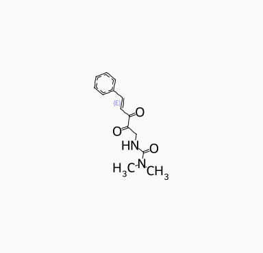 CN(C)C(=O)NCC(=O)C(=O)/C=C/c1ccccc1